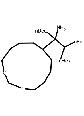 CCCCCCCCCCC(N)(C(CCCC)CCCCCC)C1CCCCCCCCCCC1